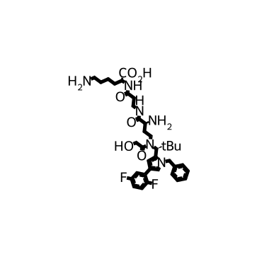 CC(C)(C)[C@H](c1cc(-c2cc(F)ccc2F)cn1Cc1ccccc1)N(CC[C@H](N)C(=O)NCCC(=O)N[C@@H](CCCCN)C(=O)O)C(=O)CO